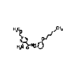 CCCC=CCOc1cccc(CNC(=O)c2ccc(COC)nc2N)c1